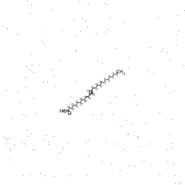 CCCCCCCCCCCCCC12CC(C=CCCCCCCCCC(=O)O)(C1)C2